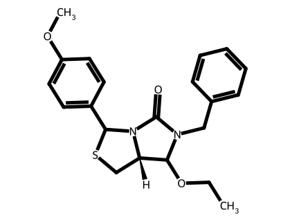 CCOC1[C@@H]2CSC(c3ccc(OC)cc3)N2C(=O)N1Cc1ccccc1